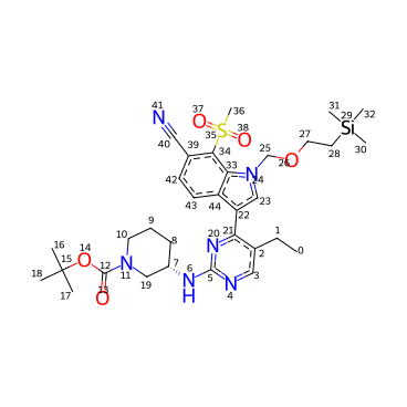 CCc1cnc(N[C@H]2CCCN(C(=O)OC(C)(C)C)C2)nc1-c1cn(COCC[Si](C)(C)C)c2c(S(C)(=O)=O)c(C#N)ccc12